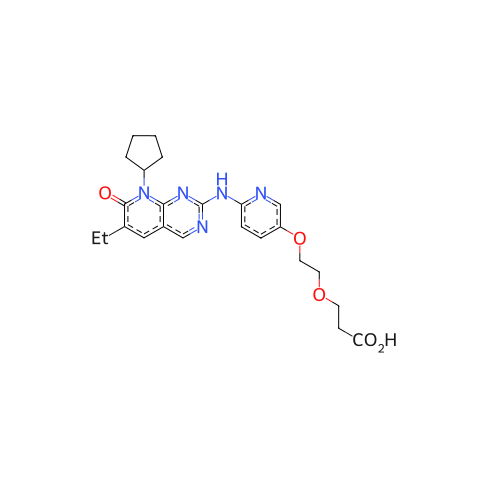 CCc1cc2cnc(Nc3ccc(OCCOCCC(=O)O)cn3)nc2n(C2CCCC2)c1=O